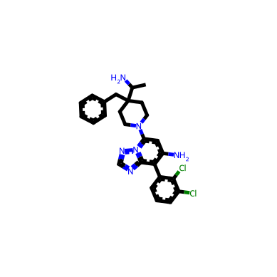 CC(N)C1(Cc2ccccc2)CCN(c2cc(N)c(-c3cccc(Cl)c3Cl)c3ncnn23)CC1